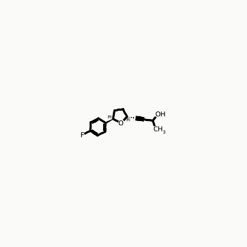 CC(O)C#C[C@H]1CC[C@H](c2ccc(F)cc2)O1